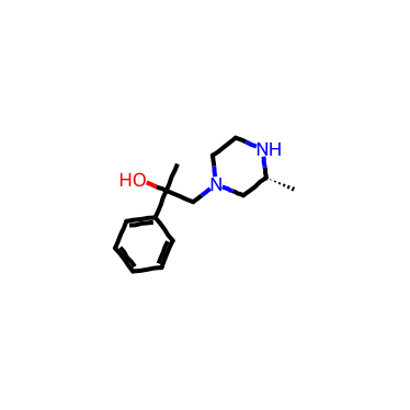 C[C@@H]1CN(CC(C)(O)c2ccccc2)CCN1